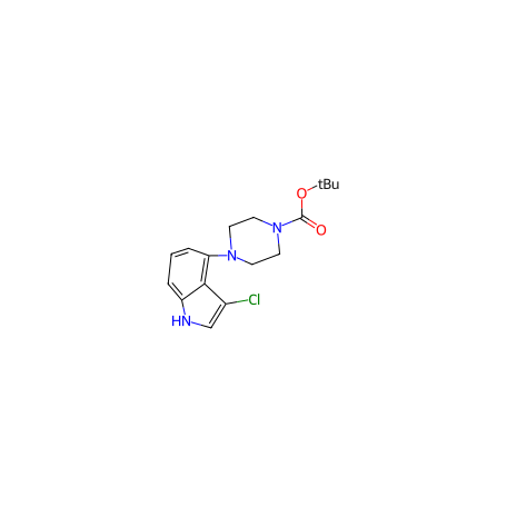 CC(C)(C)OC(=O)N1CCN(c2cccc3[nH]cc(Cl)c23)CC1